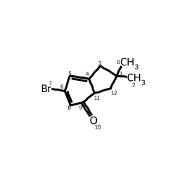 CC1(C)CC2=CC(Br)=CC(=O)C2C1